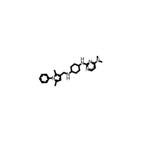 Cc1cc(CNC2CCC(Nc3nccc(N(C)C)n3)CC2)c(C)n1-c1ccccc1